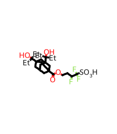 CCC(O)(CC)C12CC3CC(C(=O)OCCC(F)C(F)(F)S(=O)(=O)O)(C1)CC(C(O)(CC)CC)(C3)C2